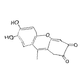 CC1=C2CC(=O)C(=O)C=C2Oc2cc(O)c(O)cc21